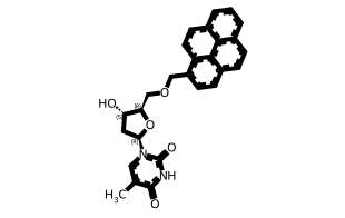 Cc1cn([C@H]2C[C@H](O)[C@@H](COCc3ccc4ccc5cccc6ccc3c4c56)O2)c(=O)[nH]c1=O